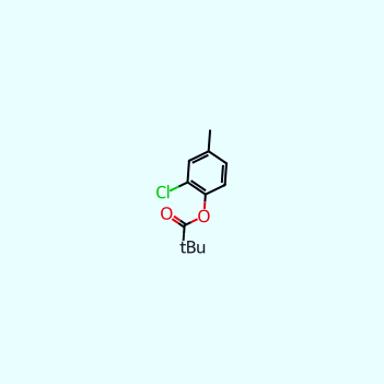 Cc1ccc(OC(=O)C(C)(C)C)c(Cl)c1